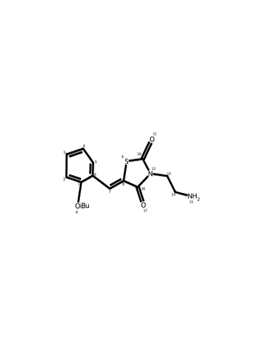 CC(C)COc1ccccc1C=C1SC(=O)N(CCN)C1=O